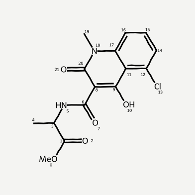 COC(=O)C(C)NC(=O)c1c(O)c2c(Cl)cccc2n(C)c1=O